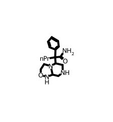 CCCC(C(N)=O)(c1ccccc1)C1CNCC2NOCCN21